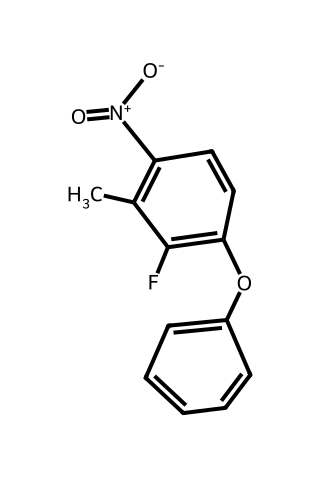 Cc1c([N+](=O)[O-])ccc(Oc2ccccc2)c1F